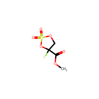 COC(=O)C1(F)COS(=O)(=O)O1